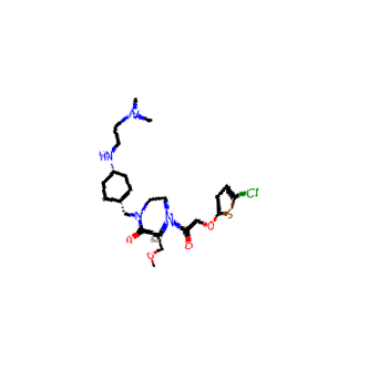 COC[C@H]1C(=O)N(C[C@H]2CC[C@@H](NCCN(C)C)CC2)CCN1C(=O)COc1ccc(Cl)s1